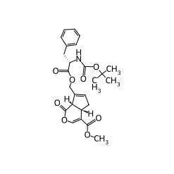 COC(=O)C1=COC(=O)[C@@H]2C(COC(=O)[C@H](Cc3ccccc3)NC(=O)OC(C)(C)C)=CC[C@H]12